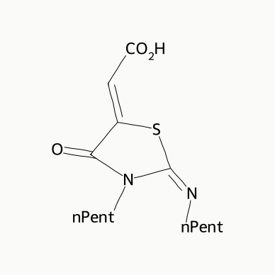 CCCCCN=C1SC(=CC(=O)O)C(=O)N1CCCCC